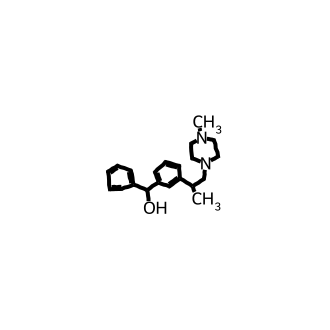 CC(CN1CCN(C)CC1)c1cccc(C(O)c2ccccc2)c1